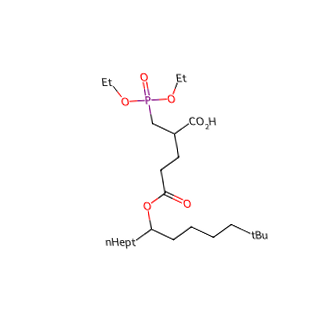 CCCCCCCC(CCCCC(C)(C)C)OC(=O)CCC(CP(=O)(OCC)OCC)C(=O)O